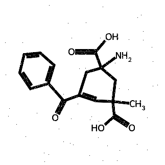 CC1(C(=O)O)C=C(C(=O)c2ccccc2)CC(N)(C(=O)O)C1